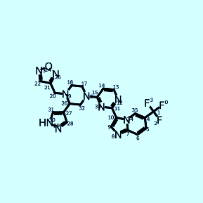 FC(F)(F)c1ccc2ncc(-c3nccc(N4CCN(Cc5cnon5)C(c5cn[nH]c5)C4)n3)n2c1